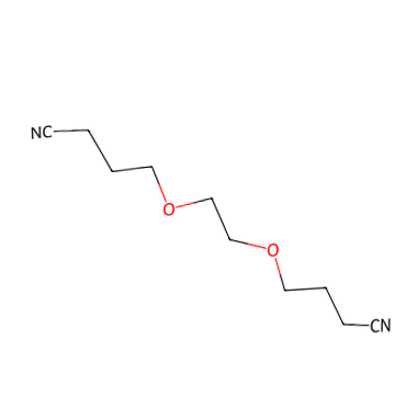 N#CCCCOCCOCCCC#N